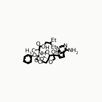 CCC(CC)COC(=O)[C@H](C)NP(=O)(OC[C@@]1(CCl)OC[C@@](O)(c2ccc3c(N)ncnn23)[C@@H]1O)Oc1ccccc1